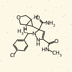 CNC(=O)C1=CC(C(N)=O)(C2[C@H]3COC[C@@H]23)N([C@@H](C)c2ccc(Cl)cc2)N1